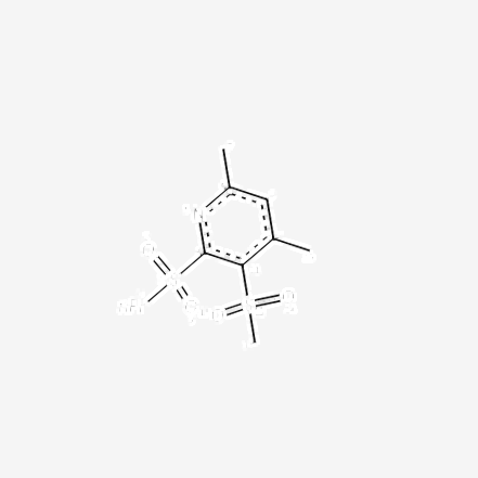 CCCS(=O)(=O)c1nc(C)cc(C)c1S(C)(=O)=O